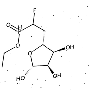 CCO[PH](=O)C(F)C[C@H]1O[C@@H](O)[C@H](O)[C@@H]1O